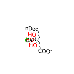 CCCCCCCCCCCCCCCCCC(=O)[O-].OCC(O)CO.[Ca+2].[Cl-]